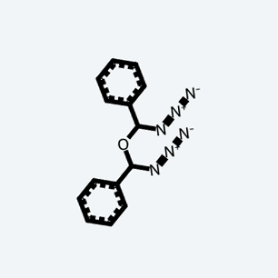 [N-]=[N+]=NC(OC(N=[N+]=[N-])c1ccccc1)c1ccccc1